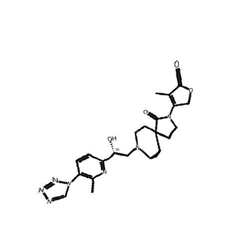 CC1=C(N2CCC3(CCN(C[C@@H](O)c4ccc(-n5cnnn5)c(C)n4)CC3)C2=O)COC1=O